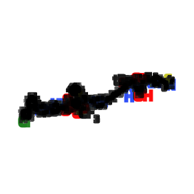 Cc1ncsc1-c1ccc([C@H](C)NC(=O)[C@@H]2C[C@@H](O)CN2C(=O)[C@@H](NC(=O)CCCCCCCN2CCN(CC[C@H](CSc3ccccc3)Nc3ccc(S(=O)(=O)NC(=O)c4ccc(N5CCN(CC6=C(c7ccc(Cl)cc7)CCC(C)(C)C6)CC5)cc4)cc3S(=O)(=O)C(F)(F)F)CC2)C(C)(C)C)cc1